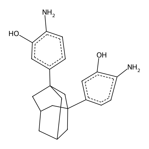 Nc1ccc(C23CC4CC(C2)CC(c2ccc(N)c(O)c2)(C4)C3)cc1O